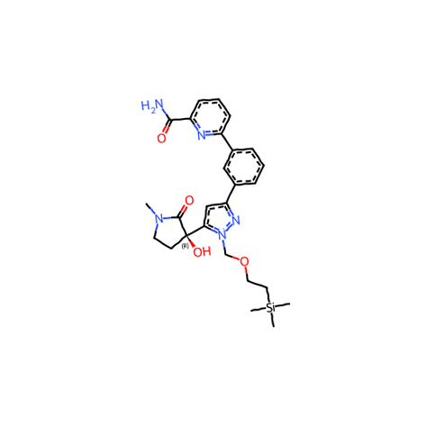 CN1CC[C@@](O)(c2cc(-c3cccc(-c4cccc(C(N)=O)n4)c3)nn2COCC[Si](C)(C)C)C1=O